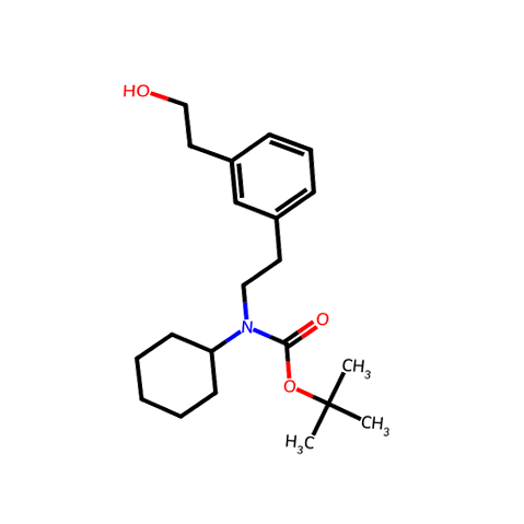 CC(C)(C)OC(=O)N(CCc1cccc(CCO)c1)C1CCCCC1